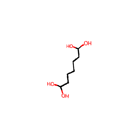 OC(O)CCCCCC(O)O